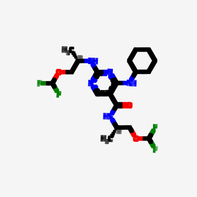 C[C@@H](COC(F)F)NC(=O)c1cnc(N[C@@H](C)COC(F)F)nc1NC1CCCCC1